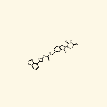 O=C1CC[C@@H](N2Cc3ccc(CNC(=O)OC4CC(c5cccc6scnc56)C4)cc3C2=O)C(=O)N1